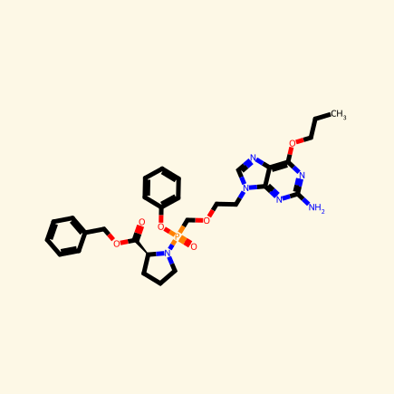 CCCOc1nc(N)nc2c1ncn2CCOCP(=O)(Oc1ccccc1)N1CCC[C@H]1C(=O)OCc1ccccc1